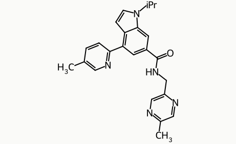 Cc1ccc(-c2cc(C(=O)NCc3cnc(C)cn3)cc3c2ccn3C(C)C)nc1